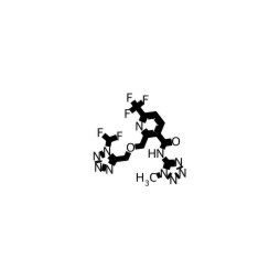 Cn1nnnc1NC(=O)c1ccc(C(F)(F)F)nc1COCc1nnnn1C(F)F